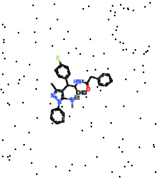 CCN(C)c1c(C(c2ccc(F)cc2)C(C=O)NC(=O)Cc2ccccc2)c(C)nn1-c1ccccc1